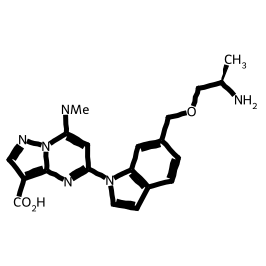 CNc1cc(-n2ccc3ccc(COC[C@@H](C)N)cc32)nc2c(C(=O)O)cnn12